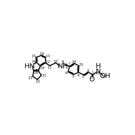 O=C(/C=C/c1ccc(CNCCc2cccc3[nH]c4c(c23)CCC4)cc1)NO